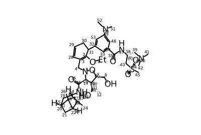 CCOC1=C(CN2O[C@@H](CO)[C@@H]([C@H](C)O)[C@H]2C(=O)N[C@H]2C[C@H]3C[C@@H]([C@@H]2C)C3(C)C)C=CCC1c1cc(C(=O)N[C@H](CN(C)C)CS(C)(=O)=O)cc(N(C)C)c1